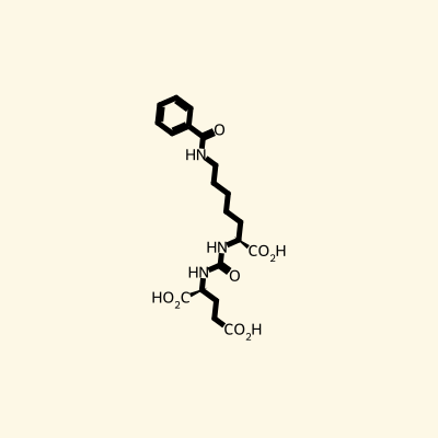 O=C(O)CC[C@H](NC(=O)N[C@@H](CCCCCNC(=O)c1ccccc1)C(=O)O)C(=O)O